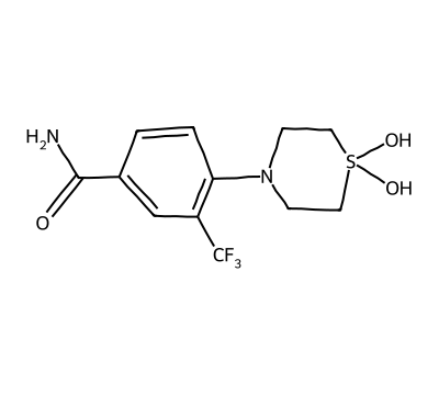 NC(=O)c1ccc(N2CCS(O)(O)CC2)c(C(F)(F)F)c1